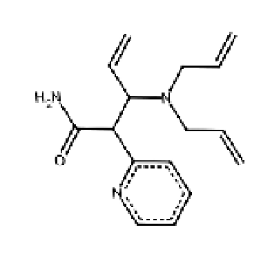 C=CCN(CC=C)C(C=C)C(C(N)=O)c1ccccn1